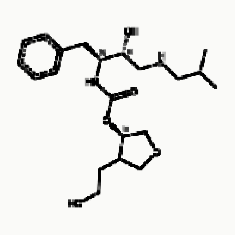 CC(C)CNC[C@@H](O)[C@H](Cc1ccccc1)NC(=O)O[C@H]1COCC1CCO